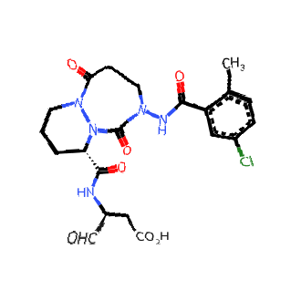 Cc1ccc(Cl)cc1C(=O)NN1CCC(=O)N2CCC[C@@H](C(=O)N[C@H](C=O)CC(=O)O)N2C1=O